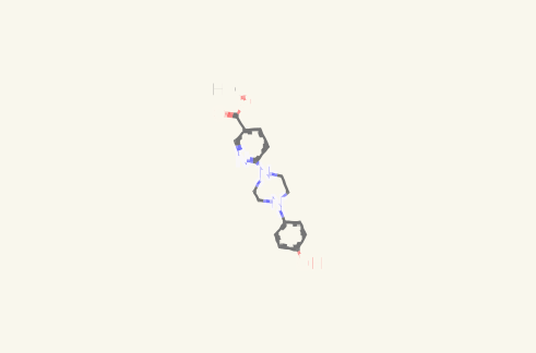 COC(=O)c1ccc(N2CCN(c3ccc(O)cc3)CC2)nc1